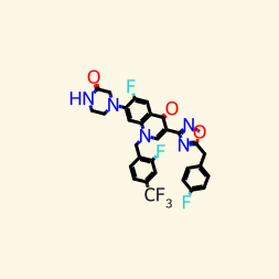 O=C1CN(c2cc3c(cc2F)c(=O)c(-c2noc(Cc4ccc(F)cc4)n2)cn3Cc2ccc(C(F)(F)F)cc2F)CCN1